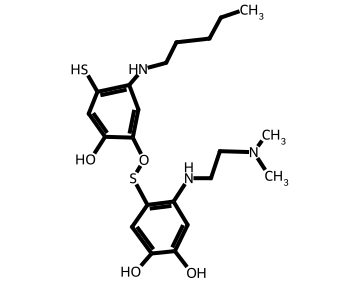 CCCCCNc1cc(OSc2cc(O)c(O)cc2NCCN(C)C)c(O)cc1S